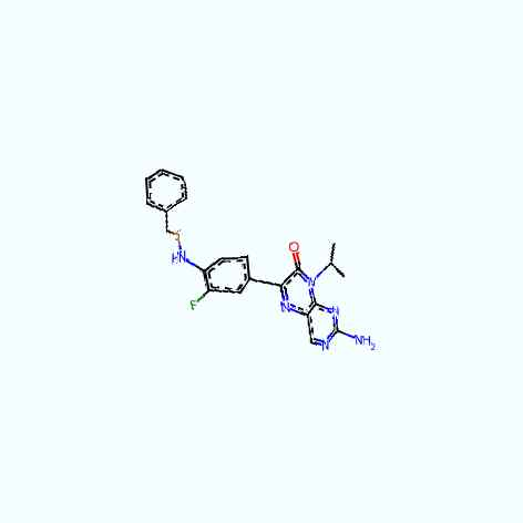 CC(C)n1c(=O)c(-c2ccc(NSCc3ccccc3)c(F)c2)nc2cnc(N)nc21